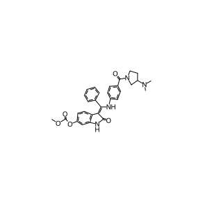 COC(=O)Oc1ccc2c(c1)NC(=O)/C2=C(\Nc1ccc(C(=O)N2CCC(N(C)C)C2)cc1)c1ccccc1